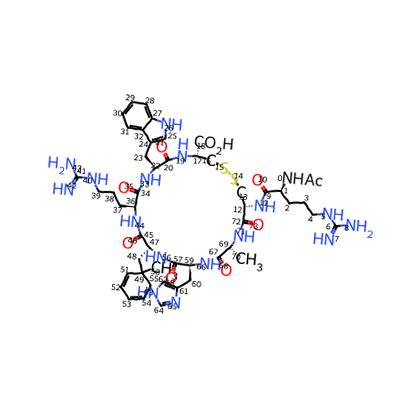 CC(=O)N[C@@H](CCCNC(=N)N)C(=O)N[C@H]1CSSC[C@@H](C(=O)O)NC(=O)[C@H](Cc2c[nH]c3ccccc23)NC(=O)[C@H](CCCNC(=N)N)NC(=O)[C@@H](CC2(C)C=CC=CC2)NC(=O)[C@H](Cc2c[nH]cn2)NC(=O)[C@@H](C)NC1=O